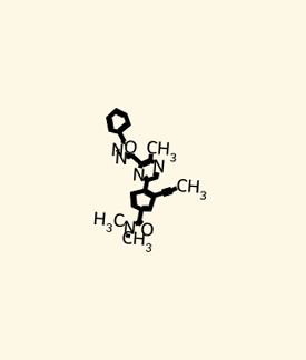 CC#Cc1cc(C(=O)N(C)C)ccc1-c1cnc(C)c(-c2nnc(-c3ccccc3)o2)n1